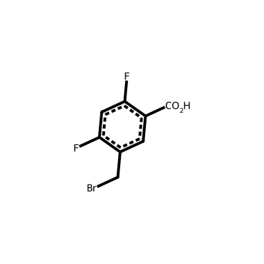 O=C(O)c1cc(CBr)c(F)cc1F